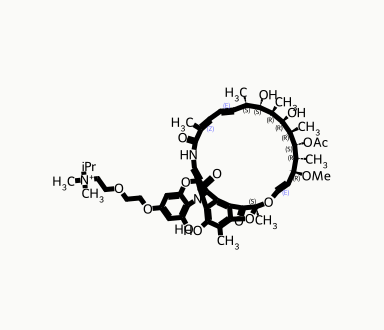 CO[C@H]1/C=C/O[C@@]2(C)Oc3c(C)c(O)c4c(=O)c(c5oc6cc(OCCOCC[N+](C)(C)C(C)C)cc(O)c6nc-5c4c3C2=O)NC(=O)/C(C)=C\C=C\[C@H](C)[C@H](O)[C@@H](C)[C@@H](O)[C@@H](C)[C@H](OC(C)=O)[C@@H]1C